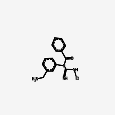 CCNC(=N)N(C(=O)c1ccccc1)c1cccc(CN)c1